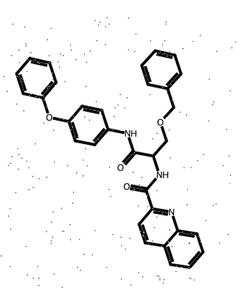 O=C(NC(COCc1ccccc1)C(=O)Nc1ccc(Oc2ccccc2)cc1)c1ccc2ccccc2n1